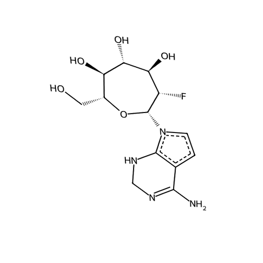 NC1=NCNc2c1ccn2[C@@H]1O[C@H](CO)[C@@H](O)[C@H](O)[C@@H](O)[C@@H]1F